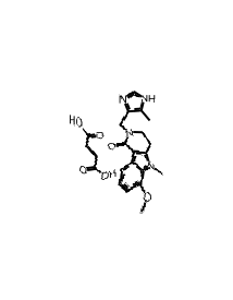 COc1cccc2c3c(n(C)c12)CCN(Cc1nc[nH]c1C)C3=O.O=C(O)C=CC(=O)O